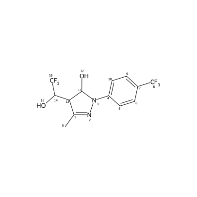 CC1=NN(c2ccc(C(F)(F)F)cc2)C(O)C1C(O)C(F)(F)F